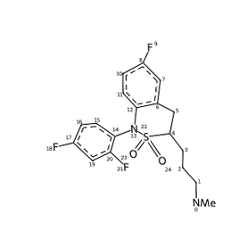 CNCCCC1Cc2cc(F)ccc2N(c2ccc(F)cc2F)S1(=O)=O